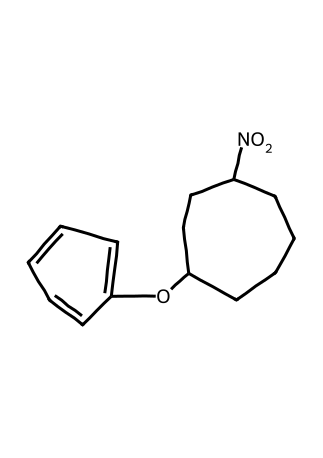 O=[N+]([O-])C1CCCCC(Oc2ccccc2)CC1